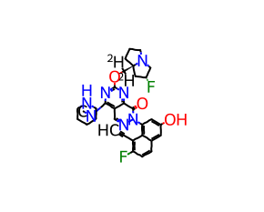 [2H]C([2H])(Oc1nc(N2CC3CCC2CN3)c2cnn(-c3cc(O)cc4ccc(F)c(C#C)c34)c(=O)c2n1)[C@@]12CCCN1C[C@H](F)C2